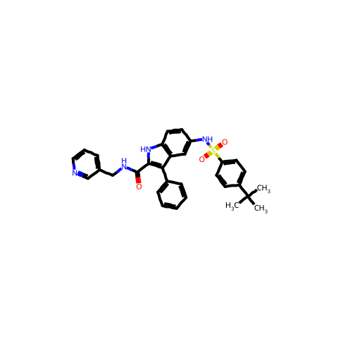 CC(C)(C)c1ccc(S(=O)(=O)Nc2ccc3[nH]c(C(=O)NCc4cccnc4)c(-c4ccccc4)c3c2)cc1